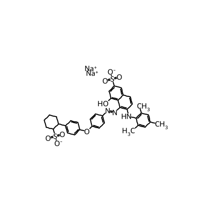 Cc1cc(C)c(Nc2ccc3cc(S(=O)(=O)[O-])cc(O)c3c2N=Nc2ccc(Oc3ccc(C4CCCCC4S(=O)(=O)[O-])cc3)cc2)c(C)c1.[Na+].[Na+]